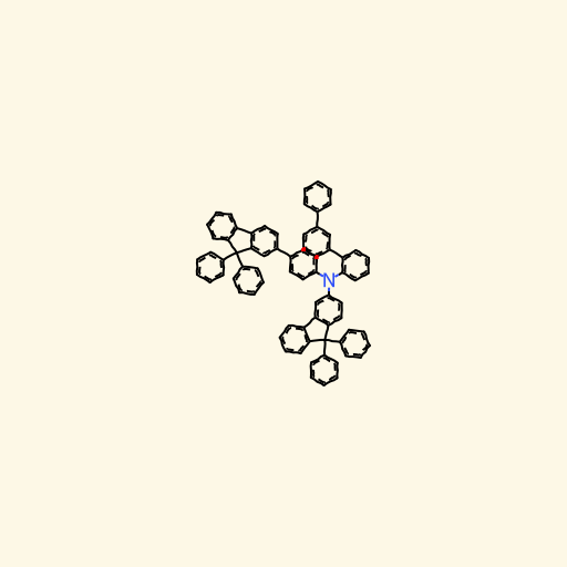 c1ccc(-c2cccc(-c3ccccc3N(c3ccc(-c4ccc5c(c4)C(c4ccccc4)(c4ccccc4)c4ccccc4-5)cc3)c3ccc4c(c3)-c3ccccc3C4(c3ccccc3)c3ccccc3)c2)cc1